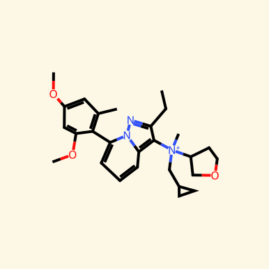 CCc1nn2c(-c3c(C)cc(OC)cc3OC)cccc2c1[N+](C)(CC1CC1)C1CCOC1